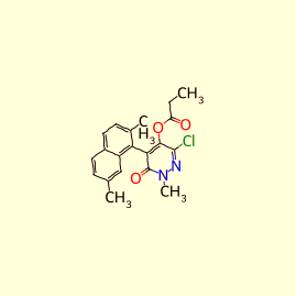 CCC(=O)Oc1c(Cl)nn(C)c(=O)c1-c1c(C)ccc2ccc(C)cc12